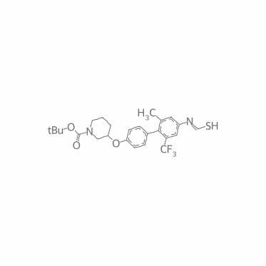 Cc1cc(/N=C/S)cc(C(F)(F)F)c1-c1ccc(OC2CCCN(C(=O)OC(C)(C)C)C2)cc1